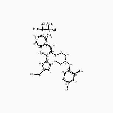 CC(C)(O)C(C)(O)c1cc2nc(N3CCN(Cc4ccc(F)cc4F)CC3)c(-c3cnn(CF)c3)nc2cn1